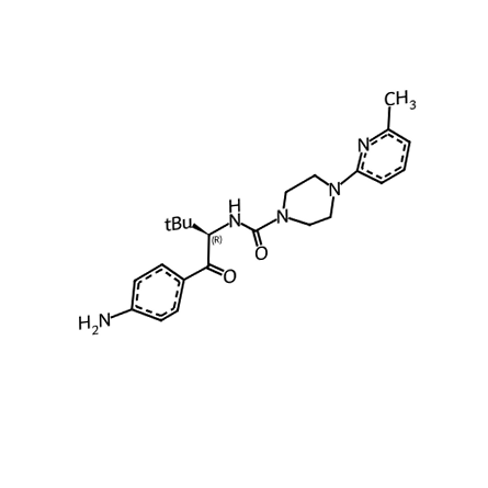 Cc1cccc(N2CCN(C(=O)N[C@@H](C(=O)c3ccc(N)cc3)C(C)(C)C)CC2)n1